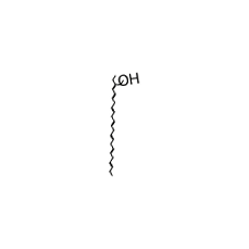 CCC=CCC=CCC=CCC=CCC=CCC=CC=C(CC)CO